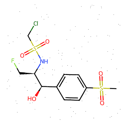 CS(=O)(=O)c1ccc([C@@H](O)[C@@H](CF)NS(=O)(=O)CCl)cc1